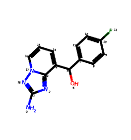 Nc1nc2c(C(O)c3ccc(F)cc3)cccn2n1